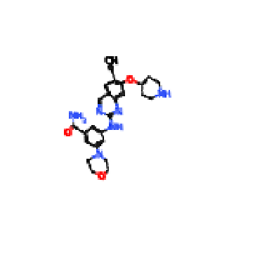 C#Cc1cc2cnc(Nc3cc(C(N)=O)cc(N4CCOCC4)c3)nc2cc1OC1CCNCC1